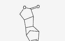 O=C1OCC2C1C1C3C=CC(C3)C21